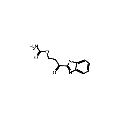 NC(=O)OCCC(=O)c1nc2ccccc2s1